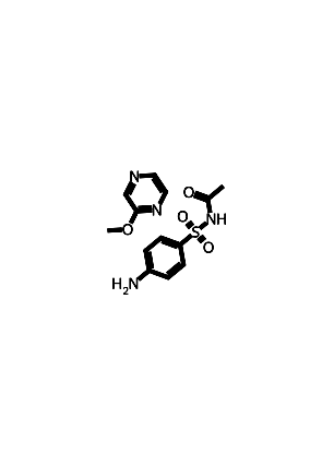 CC(=O)NS(=O)(=O)c1ccc(N)cc1.COc1cnccn1